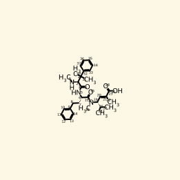 CN[C@H](C(=O)N[C@@H](CCc1ccccc1)C(=O)N(C)[C@H](C=C(C)C(=O)O)C(C)C)C(C)(C)c1ccccc1